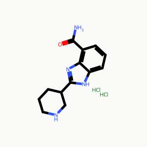 Cl.Cl.NC(=O)c1cccc2[nH]c(C3CCCNC3)nc12